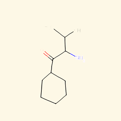 CC(C)C(N)C(=O)C1CCCCC1